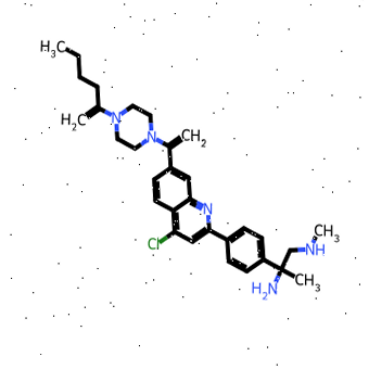 C=C(CCCC)N1CCN(C(=C)c2ccc3c(Cl)cc(-c4ccc(C(C)(N)CNC)cc4)nc3c2)CC1